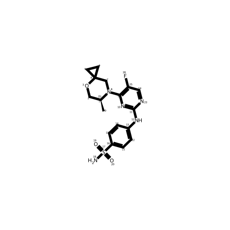 C[C@H]1COC2(CC2)CN1c1nc(Nc2ccc(S(N)(=O)=O)cc2)ncc1F